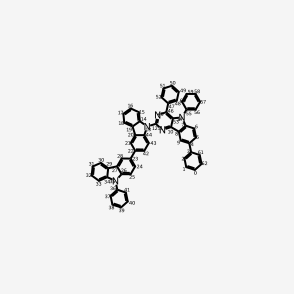 c1ccc(-c2ccc3c(c2)c2nc(-n4c5ccccc5c5cc(-c6ccc7c(c6)c6ccccc6n7-c6ccccc6)ccc54)nc(-c4ccccc4)c2n3-c2ccccc2)cc1